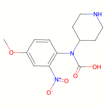 COc1ccc(N(C(=O)O)C2CCNCC2)c([N+](=O)[O-])c1